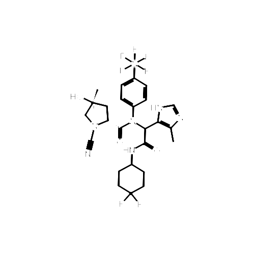 Cc1nc[nH]c1C(C(=O)NC1CCC(F)(F)CC1)N(C(=O)[C@H]1C[C@@](C)(O)CN1C#N)c1ccc(S(F)(F)(F)(F)F)cc1